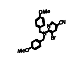 COc1ccc(CN(Cc2ccc(OC)cc2)c2ncc(C#N)cc2Br)cc1